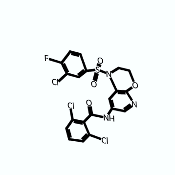 O=C(Nc1cnc2c(c1)N(S(=O)(=O)c1ccc(F)c(Cl)c1)CCO2)c1c(Cl)cccc1Cl